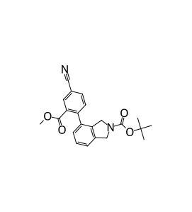 COC(=O)c1cc(C#N)ccc1-c1cccc2c1CN(C(=O)OC(C)(C)C)C2